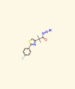 CC(C)(C(=O)N=[N+]=[N-])c1csc(-c2ccc(F)cc2)n1